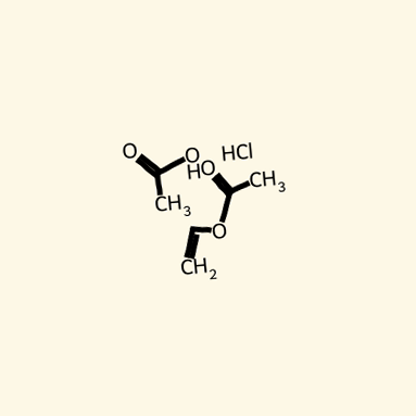 C=COC(C)=O.CC(=O)O.Cl